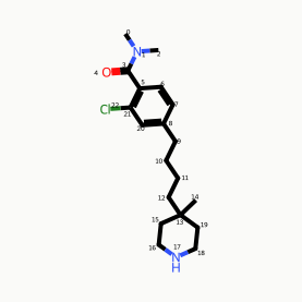 CN(C)C(=O)c1ccc(CCCCC2(C)CCNCC2)cc1Cl